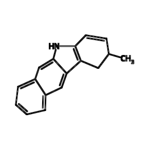 CC1C=Cc2[nH]c3cc4ccccc4cc3c2C1